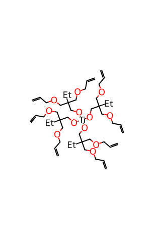 C=CCOCC(CC)(COCC=C)C[O][Ti]([O]CC(CC)(COCC=C)COCC=C)([O]CC(CC)(COCC=C)COCC=C)[O]CC(CC)(COCC=C)COCC=C